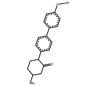 CCCCC1CCC(c2ccc(-c3ccc(OCCC)cc3)cc2)C(=O)C1